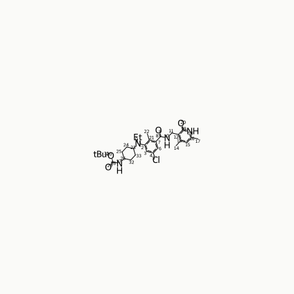 CCN(c1cc(Cl)cc(C(=O)NCc2c(C)cc(C)[nH]c2=O)c1C)C1CCC(NC(=O)OC(C)(C)C)CC1